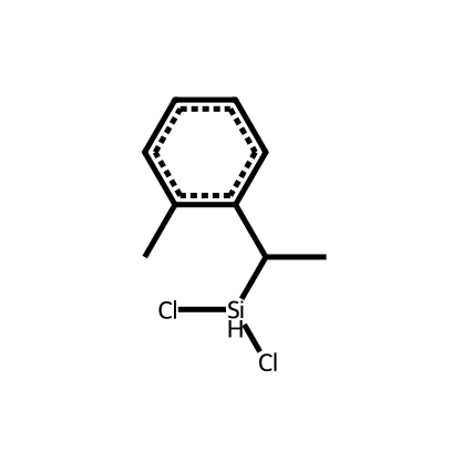 Cc1ccccc1C(C)[SiH](Cl)Cl